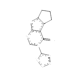 O=c1c2c3c(sc2ncn1-c1nnn[nH]1)CCC3